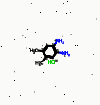 Cc1cc(N)c(N)cc1C.Cl